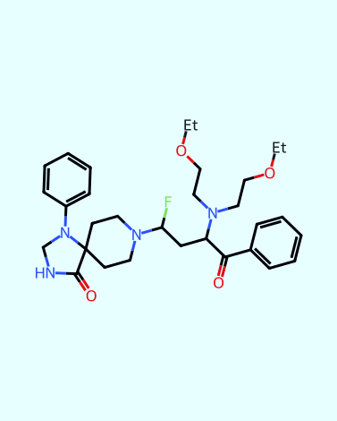 CCOCCN(CCOCC)C(CC(F)N1CCC2(CC1)C(=O)NCN2c1ccccc1)C(=O)c1ccccc1